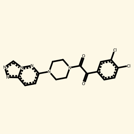 O=C(C(=O)N1CCN(c2ccc3nncn3n2)CC1)c1ccc(Cl)c(Cl)c1